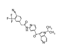 CC(C)n1cc(C(=O)c2ccnc(NC(=O)Cc3ccc(C#N)c(C(F)(F)F)c3)c2)c2cnccc21